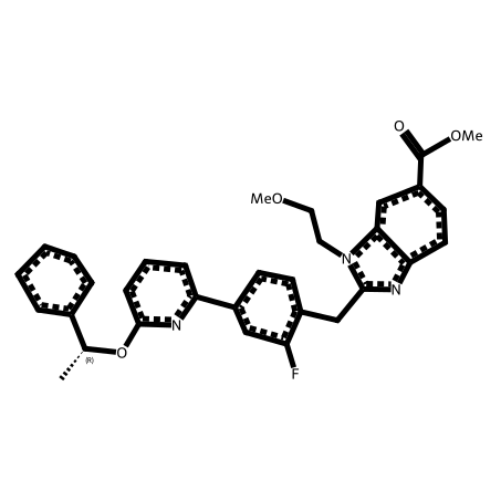 COCCn1c(Cc2ccc(-c3cccc(O[C@H](C)c4ccccc4)n3)cc2F)nc2ccc(C(=O)OC)cc21